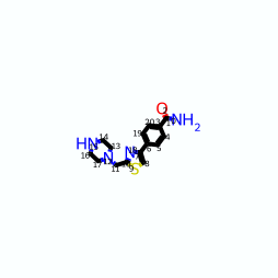 NC(=O)c1ccc(-c2csc(CN3CCNCC3)n2)cc1